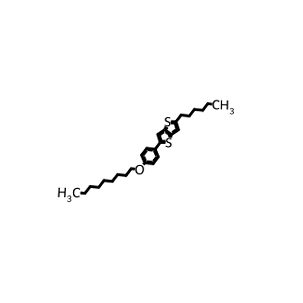 CCCCCCCCCOc1ccc(-c2cc3sc(CCCCCC)cc3s2)cc1